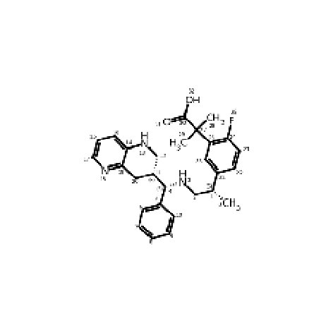 C[C@H](CN[C@H](c1ccccc1)[C@H]1CNc2cccnc2C1)c1ccc(F)c(C(C)(C)C(=O)O)c1